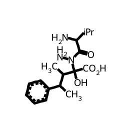 CC(C)C(N)C(=O)N(N)C(O)(C(=O)O)C(C)C(C)c1ccccc1